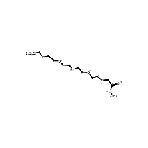 CCOC(=O)COCCOCCOCCOCCOCC(=O)OC(C)(C)C